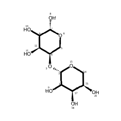 OC1[C@H](O[C@@H]2CO[C@@H](O)C(O)[C@@H]2O)OC[C@@H](O)[C@H]1O